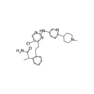 CC(C(N)=O)c1ccccc1CCc1nc(Nc2ccc(C3CCN(C)CC3)nc2)ncc1Cl